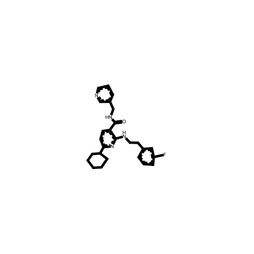 O=C(NCc1cccnc1)c1ccc(C2CCCCC2)nc1NCCc1cccc(F)c1